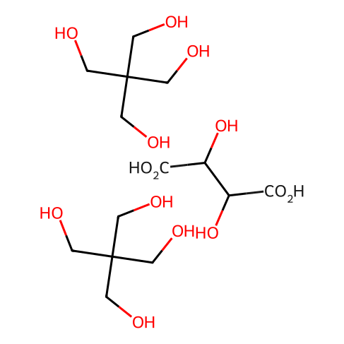 O=C(O)C(O)C(O)C(=O)O.OCC(CO)(CO)CO.OCC(CO)(CO)CO